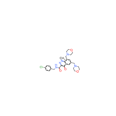 Cn1nc(C(=O)NCc2ccc(Cl)cc2)c(=O)c2cc(CN3CCOCC3)cc(CN3CCOCC3)c21